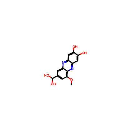 COc1cc(C(O)O)cc2nc3cc(O)c(O)cc3nc12